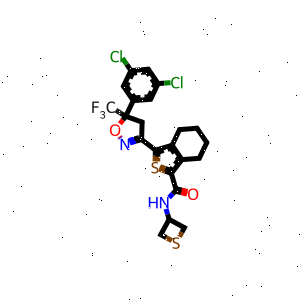 O=C(NC1CSC1)c1sc(C2=NOC(c3cc(Cl)cc(Cl)c3)(C(F)(F)F)C2)c2c1CCCC2